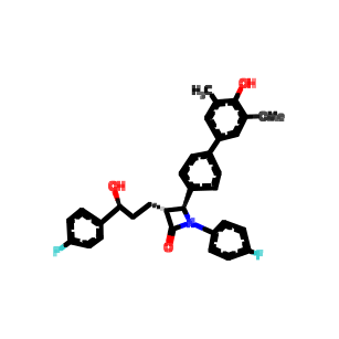 COc1cc(-c2ccc([C@@H]3[C@@H](CC[C@H](O)c4ccc(F)cc4)C(=O)N3c3ccc(F)cc3)cc2)cc(C)c1O